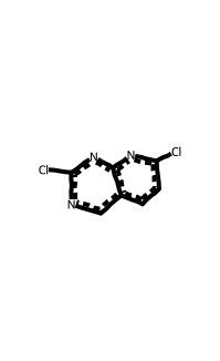 Clc1ccc2cnc(Cl)nc2n1